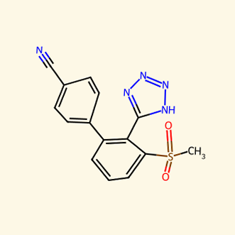 CS(=O)(=O)c1cccc(-c2ccc(C#N)cc2)c1-c1nnn[nH]1